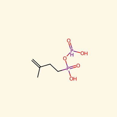 C=C(C)CCP(=O)(O)O[PH](=O)O